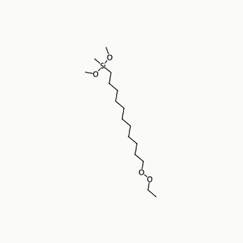 CCOOCCCCCCCCCCC[Si](C)(OC)OC